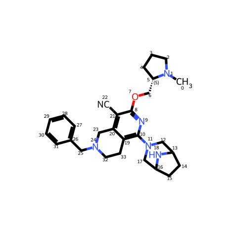 CN1CCC[C@H]1COc1nc(N2CC3CCC(C2)N3)c2c(c1C#N)CN(Cc1ccccc1)CC2